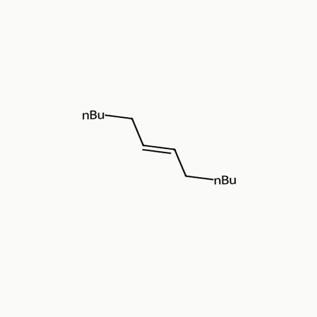 [CH2]CCCCC=CCCCC[CH2]